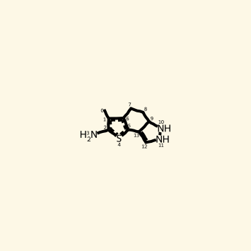 Cc1c(N)sc2c1CCC1NNC=C21